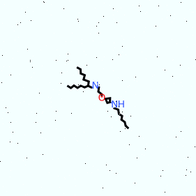 CCCCCCCCN[C@H]1C[C@H](OCCCN(C)CC(CCCCCC)CCCCCC)C1